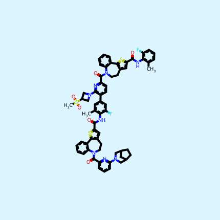 Cc1cc(-c2ccc(C(=O)N3CCc4cc(C(=O)Nc5c(C)cccc5F)sc4-c4ccccc43)nc2N2CC(S(C)(=O)=O)C2)cc(F)c1NC(=O)c1cc2c(s1)-c1ccccc1N(C(=O)c1cccc(N3CC4CCC(C4)C3)n1)CC2